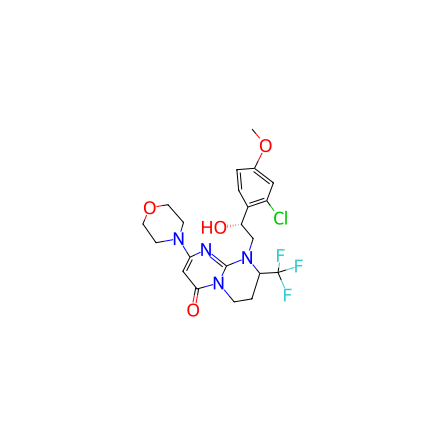 COc1ccc([C@@H](O)CN2c3nc(N4CCOCC4)cc(=O)n3CCC2C(F)(F)F)c(Cl)c1